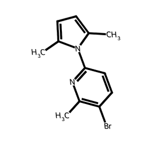 Cc1nc(-n2c(C)ccc2C)ccc1Br